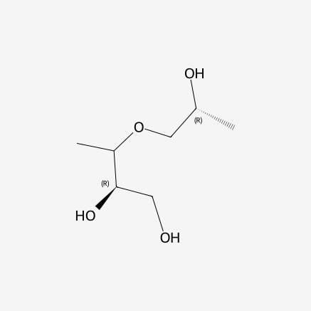 CC(OC[C@@H](C)O)[C@H](O)CO